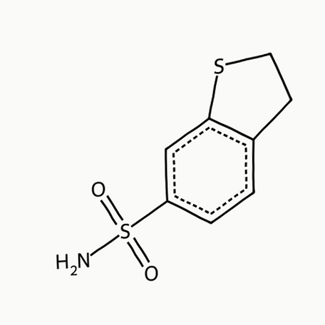 NS(=O)(=O)c1ccc2c(c1)SCC2